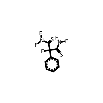 FN(F)C(=S)C(F)(C(=S)N(F)F)c1ccccc1